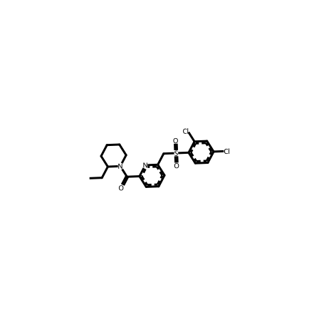 CCC1CCCCN1C(=O)c1cccc(CS(=O)(=O)c2ccc(Cl)cc2Cl)n1